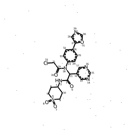 O=C(NC1CCS(=O)(=O)CC1)C(c1cncnc1)N(C(=O)CCl)c1ccc(-c2cnco2)cc1